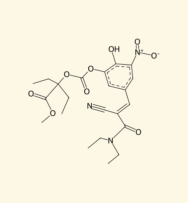 CCN(CC)C(=O)/C(C#N)=C/c1cc(OC(=O)OC(CC)(CC)C(=O)OC)c(O)c([N+](=O)[O-])c1